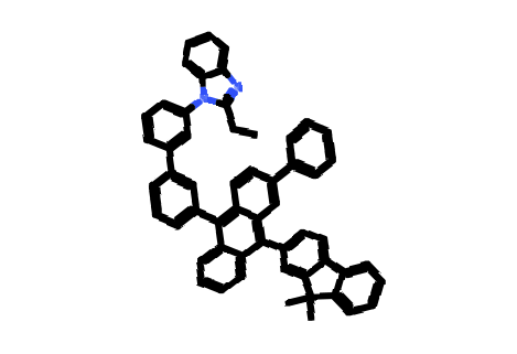 CCc1nc2ccccc2n1-c1cccc(-c2cccc(-c3c4ccccc4c(-c4ccc5c(c4)C(C)(C)c4ccccc4-5)c4cc(-c5ccccc5)ccc34)c2)c1